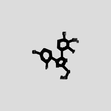 CC(=O)OOc1nc(-c2ccc(Cl)c(C)c2F)n(-c2ccc(Cl)cc2F)n1